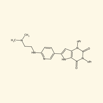 CCCn1c(=O)c2[nH]c(-c3ccc(NCCN(C)C)nc3)cc2n(CCC)c1=O